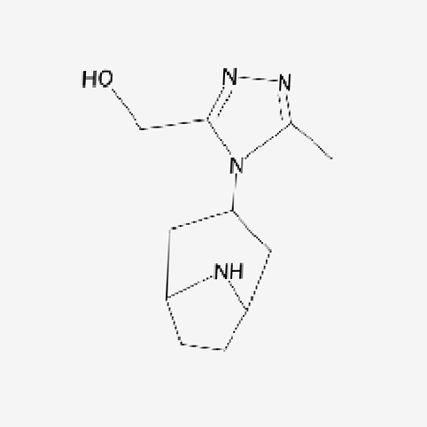 Cc1nnc(CO)n1C1CC2CCC(C1)N2